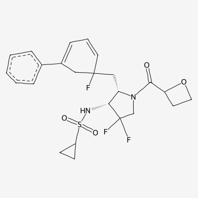 O=C(C1CCO1)N1CC(F)(F)[C@H](NS(=O)(=O)C2CC2)[C@@H]1CC1(F)C=CC=C(c2ccccc2)C1